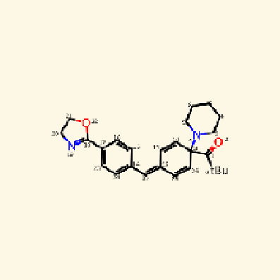 CC(C)(C)C(=O)C1(N2CCCCC2)C=CC(=Cc2ccc(C3=NCCO3)cc2)C=C1